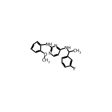 COc1ccccc1Nc1nccc(NC(C)c2cccc(F)c2)n1